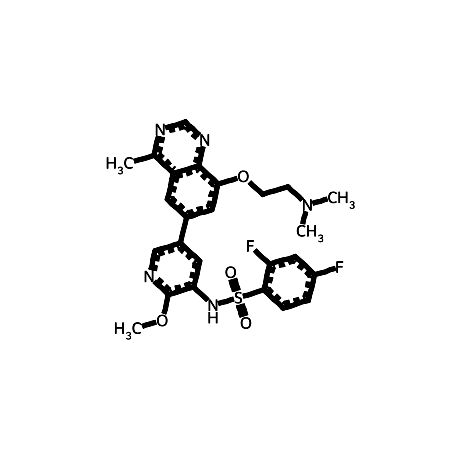 COc1ncc(-c2cc(OCCN(C)C)c3ncnc(C)c3c2)cc1NS(=O)(=O)c1ccc(F)cc1F